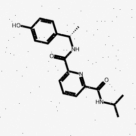 CC(C)NC(=O)c1cccc(C(=O)N[C@@H](C)c2ccc(O)cc2)n1